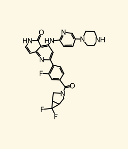 O=C(c1ccc(-c2cc(Nc3ccc(N4CCNCC4)cn3)c3c(=O)[nH]ccc3n2)c(F)c1)N1CC2C(C1)C2(F)F